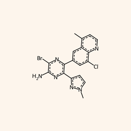 Cc1ccnc2c(Cl)cc(-c3nc(Br)c(N)nc3-c3ccn(C)n3)cc12